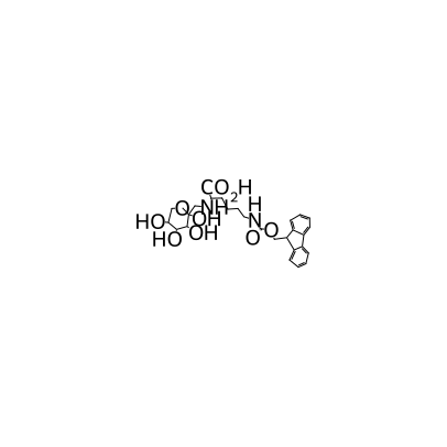 O=C(NCCCCC(NCC1(O)OCC(O)C(O)C1O)C(=O)O)OCC1c2ccccc2-c2ccccc21